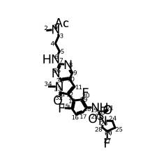 CC(=O)N(C)CCCNc1ncc2cc(-c3c(F)ccc(NS(=O)(=O)N4CC[C@@H](F)C4)c3F)c(=O)n(C)c2n1